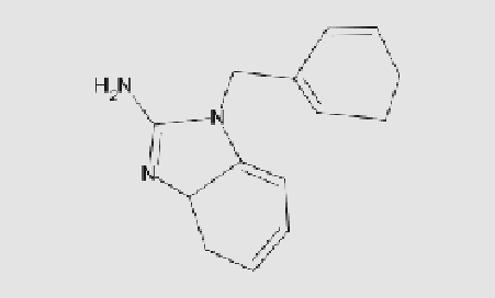 NC1=NC2CC=CC=C2N1CC1=CCCC=C1